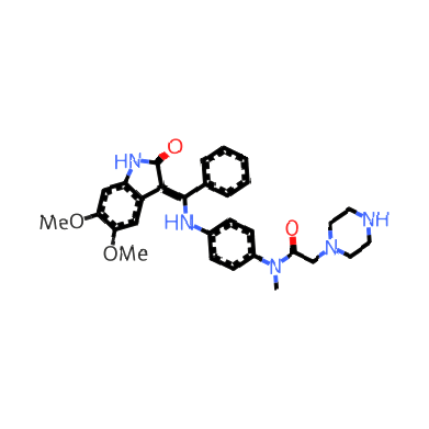 COc1cc2c(cc1OC)C(=C(Nc1ccc(N(C)C(=O)CN3CCNCC3)cc1)c1ccccc1)C(=O)N2